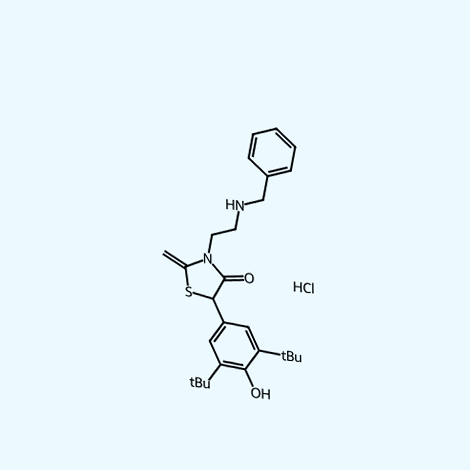 C=C1SC(c2cc(C(C)(C)C)c(O)c(C(C)(C)C)c2)C(=O)N1CCNCc1ccccc1.Cl